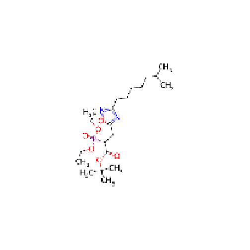 CCOP(=O)(OCC)C(Cc1nc(CCCCCC(C)C)no1)C(=O)OC(C)(C)C